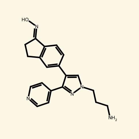 NCCCn1cc(-c2ccc3c(c2)CCC3=NO)c(-c2ccncc2)n1